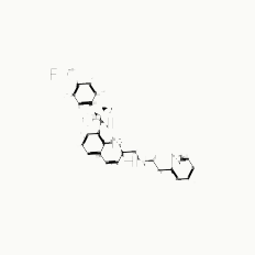 O=S(=O)(Nc1cccc2ccc(CNCCc3ccccn3)nc12)c1ccc(C(F)(F)F)cc1